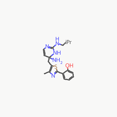 Cc1nc(-c2ccccc2O)sc1CC1(N)C=CN=C(NCC(C)C)N1